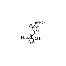 Cc1cccc(C)c1/C=C/C1CCN(CC=O)C(=O)C1